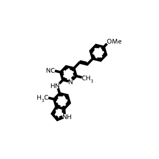 COc1ccc(C=Cc2cc(C#N)c(Nc3ccc4[nH]ccc4c3C)nc2C)cc1